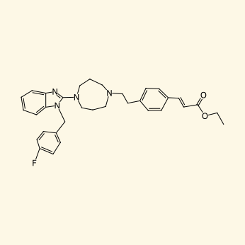 CCOC(=O)C=Cc1ccc(CCN2CCCN(c3nc4ccccc4n3Cc3ccc(F)cc3)CCC2)cc1